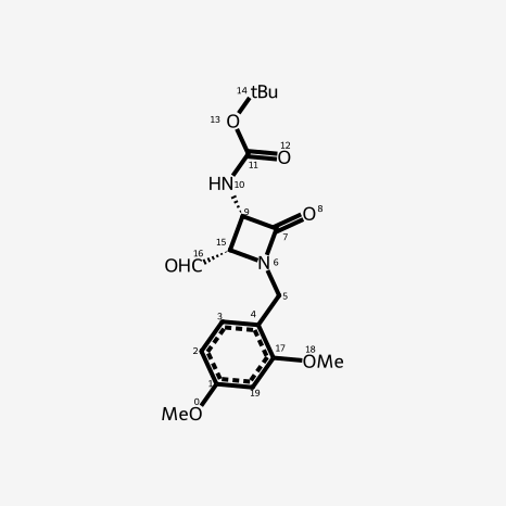 COc1ccc(CN2C(=O)[C@@H](NC(=O)OC(C)(C)C)[C@H]2C=O)c(OC)c1